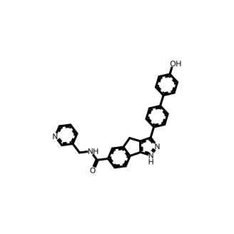 O=C(NCc1cccnc1)c1ccc2c(c1)Cc1c(-c3ccc(-c4ccc(O)cc4)cc3)n[nH]c1-2